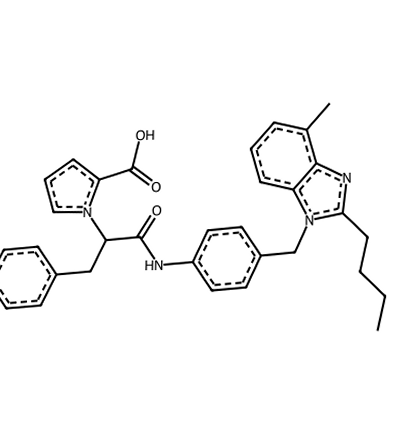 CCCCc1nc2c(C)cccc2n1Cc1ccc(NC(=O)C(Cc2ccccc2)n2cccc2C(=O)O)cc1